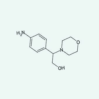 Nc1ccc(C(CO)N2CCOCC2)cc1